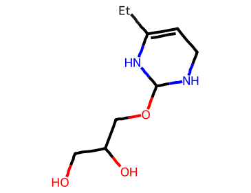 CCC1=CCNC(OCC(O)CO)N1